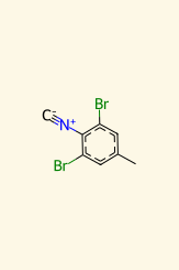 [C-]#[N+]c1c(Br)cc(C)cc1Br